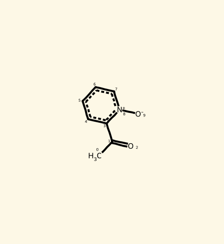 CC(=O)c1cccc[n+]1[O-]